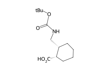 CC(C)(C)OC(=O)NC[C@@H]1CCCC[C@@H]1C(=O)O